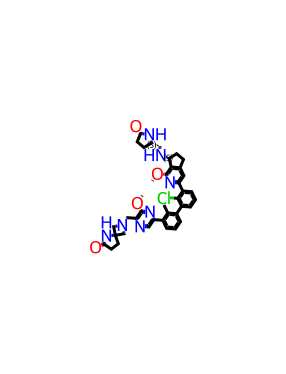 COc1nc(-c2cccc(-c3cccc(-c4cc5c(c(OC)n4)[C@@H](NC[C@@H]4CCC(=O)N4)CC5)c3Cl)c2C)cnc1CN1CC2(CCC(=O)N2)C1